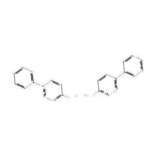 c1ccc(-c2ccc([O][Zr][O]c3ccc(-c4ccccc4)cc3)cc2)cc1